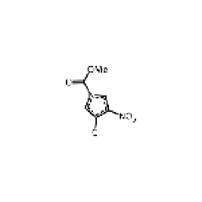 COC(=O)n1cc(Cl)c([N+](=O)[O-])c1